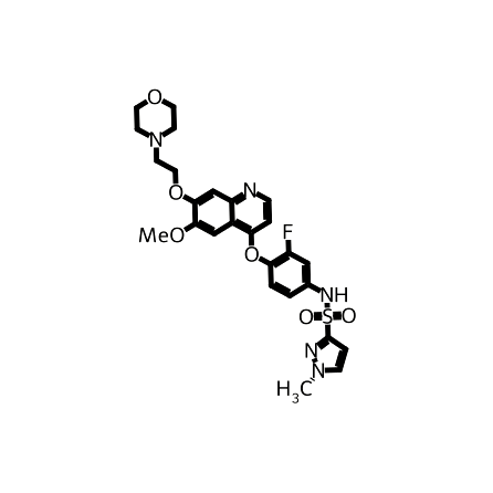 COc1cc2c(Oc3ccc(NS(=O)(=O)c4ccn(C)n4)cc3F)ccnc2cc1OCCN1CCOCC1